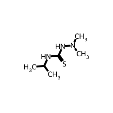 CC(C)NC(=S)NN(C)C